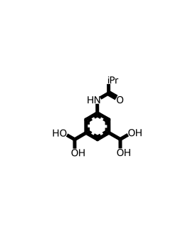 CC(C)C(=O)Nc1cc(C(O)O)cc(C(O)O)c1